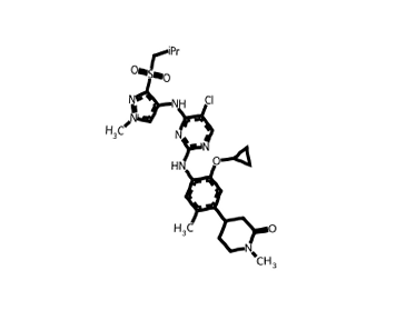 Cc1cc(Nc2ncc(Cl)c(Nc3cn(C)nc3S(=O)(=O)CC(C)C)n2)c(OC2CC2)cc1C1CCN(C)C(=O)C1